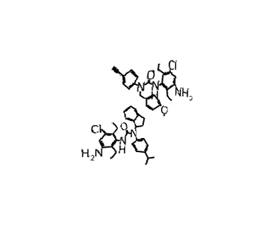 C#Cc1ccc(N(Cc2ccc(OC)cc2)C(=O)Nc2c(CC)c(N)cc(Cl)c2CC)cc1.CCc1c(N)cc(Cl)c(CC)c1NC(=O)N(c1ccc(C(C)C)cc1)C1CCc2ccccc21